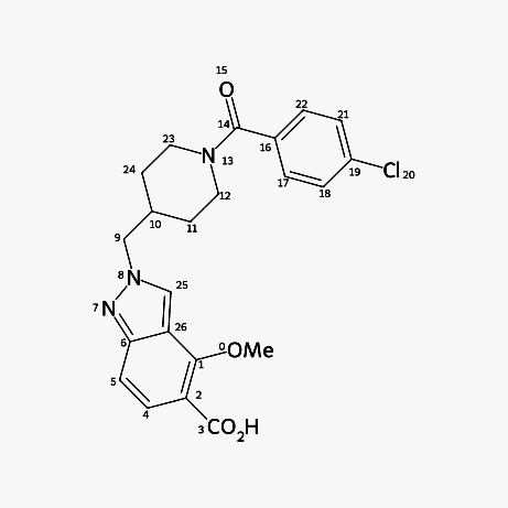 COc1c(C(=O)O)ccc2nn(CC3CCN(C(=O)c4ccc(Cl)cc4)CC3)cc12